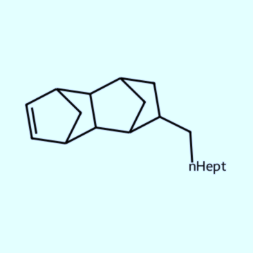 CCCCCCCCC1CC2CC1C1C3C=CC(C3)C21